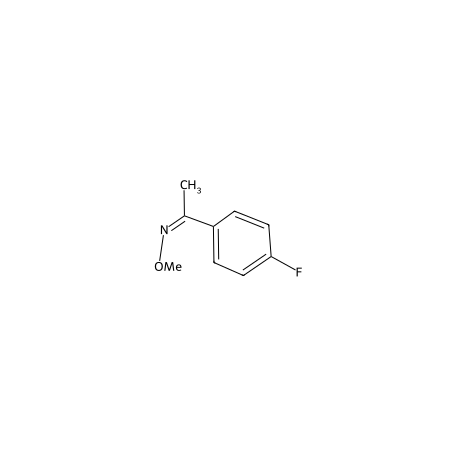 CO/N=C(/C)c1ccc(F)cc1